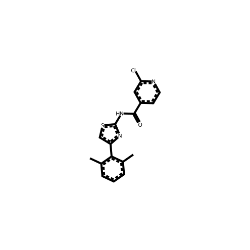 Cc1cccc(C)c1-c1csc(NC(=O)c2ccnc(Cl)c2)n1